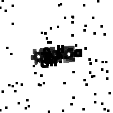 O=S(=O)(c1ccccc1Cl)N1C[C@H]2C[C@H]1CN2c1ccc(Cl)cc1